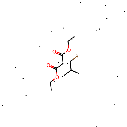 CC(C)CBr.CCOC(=O)CC(=O)OCC